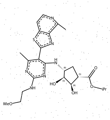 COCCNc1nc(C)c(-c2nc3c(C)nccc3s2)c(N[C@@H]2C[C@H](C(=O)OC(C)C)[C@@H](O)[C@H]2O)n1